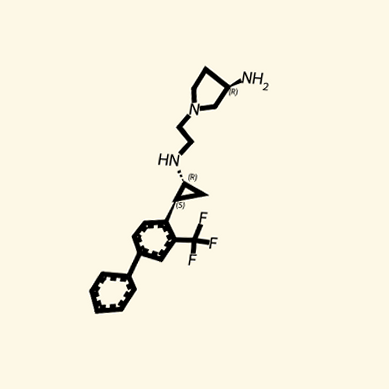 N[C@@H]1CCN(CCN[C@@H]2C[C@H]2c2ccc(-c3ccccc3)cc2C(F)(F)F)C1